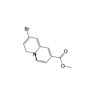 COC(=O)C1=CC2=CC(Br)=CCC23C=NC=CC3=C1